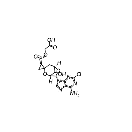 Nc1nc(Cl)nc2c1ncn2[C@@H]1O[C@@H]2CC3(C/C3=[P+](\[O-])OCC(=O)O)O[C@@H]1C2O